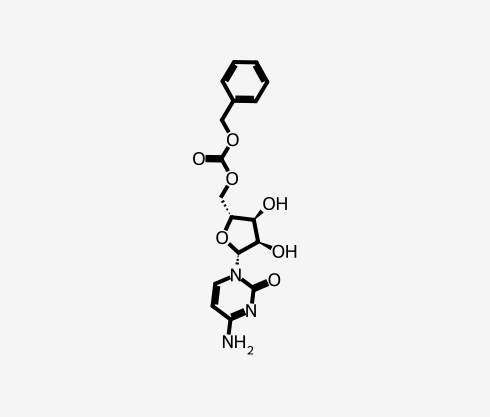 Nc1ccn([C@@H]2O[C@H](COC(=O)OCc3ccccc3)[C@@H](O)[C@H]2O)c(=O)n1